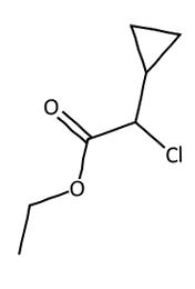 CCOC(=O)C(Cl)C1CC1